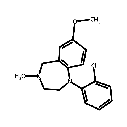 COc1ccc2c(c1)CN(C)CCN2c1ccccc1Cl